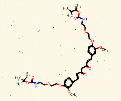 COc1cc(/C=C/C(=O)CC(=O)/C=C/c2ccc(OCCOCCNC(=O)OC(C)(C)C)c(OC)c2)ccc1OCCOCCNC(=O)OC(C)C(C)C